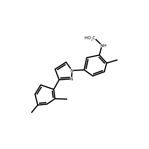 Cc1ccc(-c2ccn(-c3ccc(C)c(NC(=O)O)c3)n2)c(C)c1